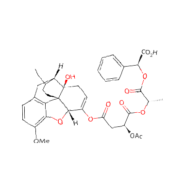 COc1ccc2c3c1O[C@H]1C(OC(=O)C[C@H](OC(C)=O)C(=O)O[C@@H](C)C(=O)O[C@H](C(=O)O)c4ccccc4)=CC[C@@]4(O)[C@@H](C2)C(C)CC[C@]314